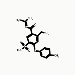 CCc1cc(Sc2ccc(C)cc2)c(S(C)(=O)=O)cc1C(=O)N=C(N)N